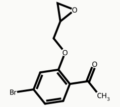 CC(=O)c1ccc(Br)cc1OCC1CO1